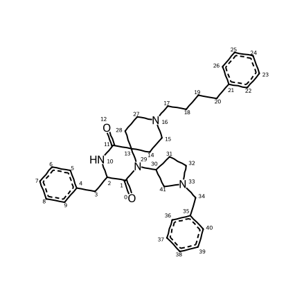 O=C1C(Cc2ccccc2)NC(=O)C2(CCN(CCCCc3ccccc3)CC2)N1C1CCN(Cc2ccccc2)C1